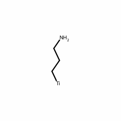 NCC[CH2][Ti]